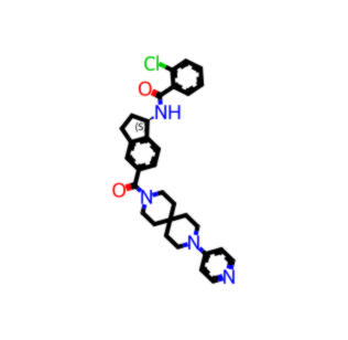 O=C(N[C@H]1CCc2cc(C(=O)N3CCC4(CC3)CCN(c3ccncc3)CC4)ccc21)c1ccccc1Cl